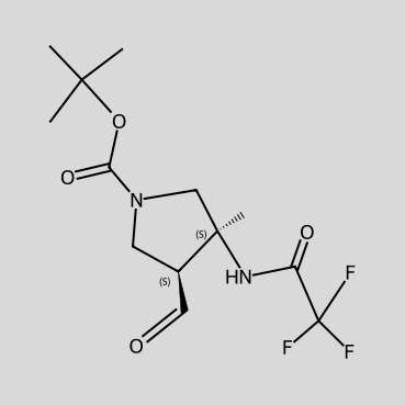 CC(C)(C)OC(=O)N1C[C@H](C=O)[C@](C)(NC(=O)C(F)(F)F)C1